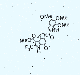 COC(=O)c1c(C(F)(F)F)[nH]c2c1C13CC1CN(C(=O)c1cc4cc(OC)c(OC)c(OC)c4[nH]1)C3=CC2=O